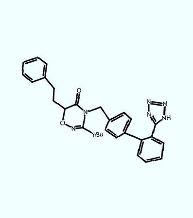 CCCCC1=NOC(CCc2ccccc2)C(=O)N1Cc1ccc(-c2ccccc2-c2nnn[nH]2)cc1